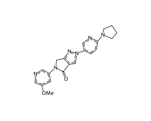 COc1cncc(N2Cc3nn(-c4ccc(N5CCCC5)nc4)cc3C2=O)c1